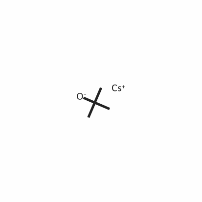 CC(C)(C)[O-].[Cs+]